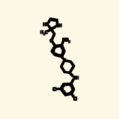 CC1(COc2ccc(N3CCC(Nc4cc(Cl)cc(Cl)c4)CC3)cc2[N+](=O)[O-])NC=CN1